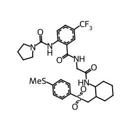 CSc1ccc(S(=O)(=O)CC2CCCCC2NC(=O)CNC(=O)c2cc(C(F)(F)F)ccc2NC(=O)N2CCCC2)cc1